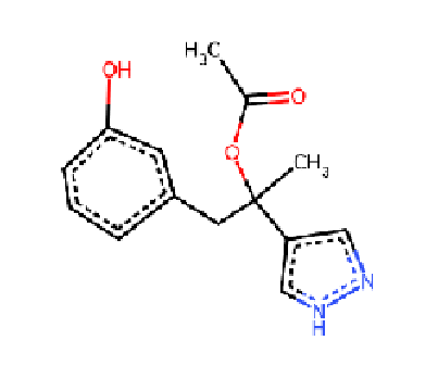 CC(=O)OC(C)(Cc1cccc(O)c1)c1cn[nH]c1